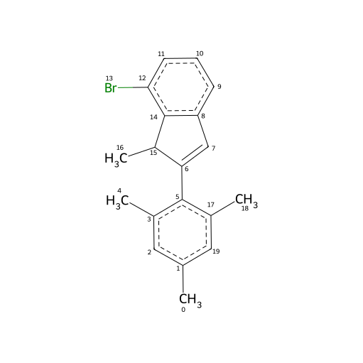 Cc1cc(C)c(C2=Cc3cccc(Br)c3C2C)c(C)c1